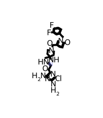 Nc1nc(N)c(C(=O)/C=C2\NCC3(CCN(C(=O)c4ccc(=O)n(Cc5ccc(F)c(F)c5)c4)CC3)N2)nc1Cl